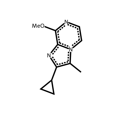 COc1nccn2c(C)c(C3CC3)nc12